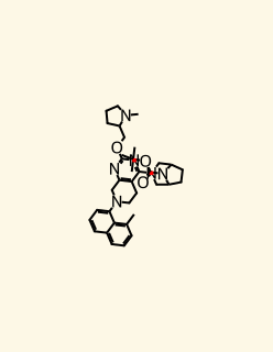 Cc1cccc2cccc(N3CCc4c(nc(OCC5CCCN5C)nc4N4CC5CCC(C4)N5C(=O)OC(C)(C)C)C3)c12